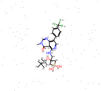 Cn1cnc2c(-c3ccc(C(F)(F)F)cc3)cnc(NCC3(O[Si](C)(C)C(C)(C)C)CS(O)(O)C3)c2c1=O